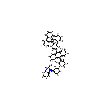 Cc1nc2ccccc2n1-c1cccc(-c2cccc(-c3c4ccccc4c(-c4ccc([Si](c5ccccc5)(c5ccccc5)c5ccccc5)cc4)c4ccccc34)c2)c1